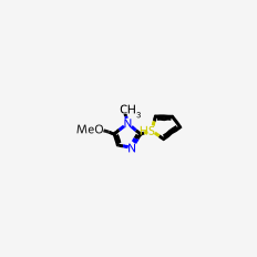 COc1cnc([SH]2C=CC=C2)n1C